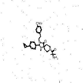 COc1ccc(CCN2C(=O)C3(CCN(C(=O)C(C)(C)N)CC3)N(C)C2c2ccc(C3CC3)cc2)cc1